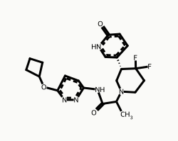 CC(C(=O)Nc1ccc(OC2CCC2)nn1)N1CCC(F)(F)[C@@H](c2ccc(=O)[nH]c2)C1